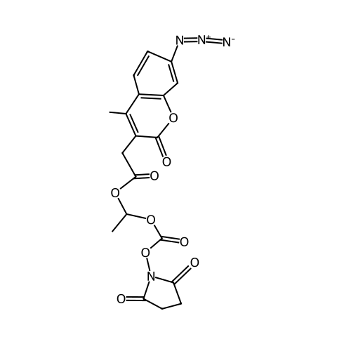 Cc1c(CC(=O)OC(C)OC(=O)ON2C(=O)CCC2=O)c(=O)oc2cc(N=[N+]=[N-])ccc12